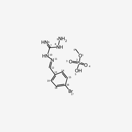 COS(=O)(=O)O.N=C(NN)NN=Cc1ccc(Br)cc1